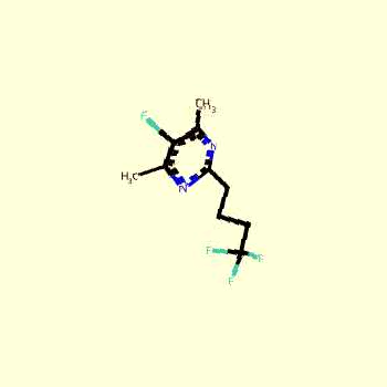 Cc1nc(CCCC(F)(F)F)nc(C)c1F